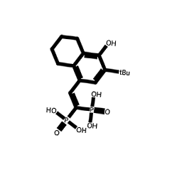 CC(C)(C)c1cc(C=C(P(=O)(O)O)P(=O)(O)O)c2c(c1O)CCCC2